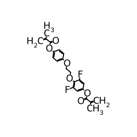 C=C(C)C(=O)Oc1ccc(OCCOc2c(F)cc(OC(=O)C(=C)C)cc2F)cc1